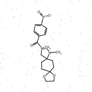 CN(C)C1(CNC(=O)c2ccc([N+](=O)[O-])cc2)CCC2(CC1)OCCO2